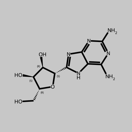 Nc1nc(N)c2[nH]c([C@@H]3O[C@H](CO)[C@@H](O)[C@H]3O)nc2n1